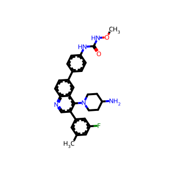 CONC(=O)Nc1ccc(-c2ccc3ncc(-c4cc(C)cc(F)c4)c(N4CCC(N)CC4)c3c2)cc1